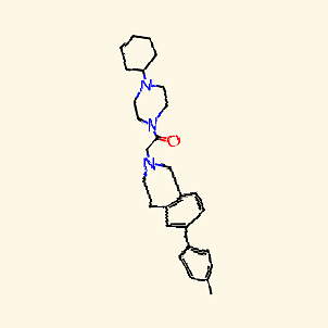 Cc1ccc(-c2ccc3c(c2)CCN(CC(=O)N2CCN(C4CCCCC4)CC2)C3)cc1